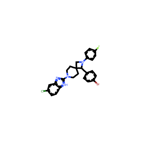 Fc1ccc(N2CC3(CCN(c4nc5cc(Cl)ccc5[nH]4)CC3)C2c2ccc(Br)cc2)cc1